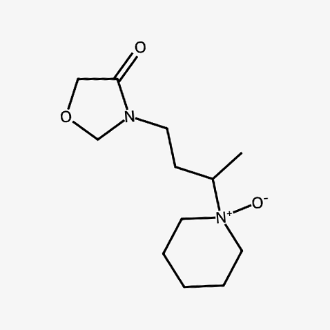 CC(CCN1COCC1=O)[N+]1([O-])CCCCC1